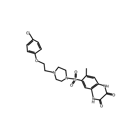 Cc1cc2[nH]c(=O)c(=O)[nH]c2cc1S(=O)(=O)N1CCN(CCOc2ccc(Cl)cc2)CC1